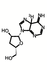 [2H]C12N=CN([C@@H]3O[C@H](CO)C[C@H]3O)C1=NC=NC2=N